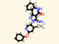 Cc1cc(Oc2ccccc2)ncc1-n1nc2c(c1N)c(=O)[nH]c1ccccc12